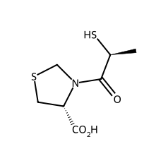 C[C@H](S)C(=O)N1CSC[C@H]1C(=O)O